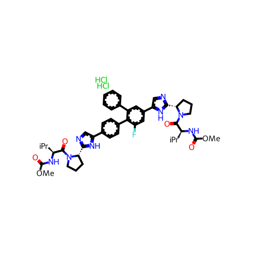 COC(=O)N[C@H](C(=O)N1CCC[C@H]1c1ncc(-c2ccc(-c3c(F)cc(-c4cnc([C@@H]5CCCN5C(=O)[C@@H](NC(=O)OC)C(C)C)[nH]4)cc3-c3ccccc3)cc2)[nH]1)C(C)C.Cl.Cl